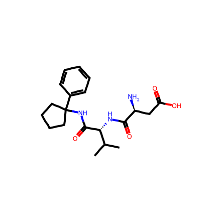 CC(C)[C@@H](NC(=O)[C@@H](N)CC(=O)O)C(=O)NC1(c2ccccc2)CCCC1